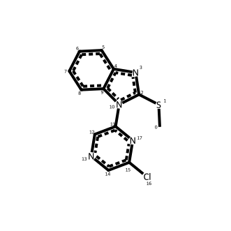 CSc1nc2ccccc2n1-c1cncc(Cl)n1